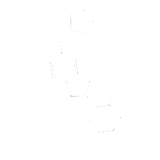 O=C1CCC(N2Cc3cc(OC4CCCC4)c(F)cc3C2=O)C(=O)N1